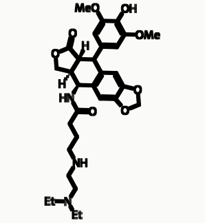 CCN(CC)CCNCCCC(=O)N[C@@H]1c2cc3c(cc2C(c2cc(OC)c(O)c(OC)c2)[C@H]2C(=O)OC[C@H]12)OCO3